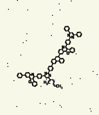 C=C(/C=C\C=C/C)c1cc(-c2ccc(-c3nc4ccc(-c5ccccc5)cc4c4oc5ccccc5c34)cc2)nc(-c2ccc(-c3ccc4cc(-c5ccc6nc(-c7ccc(-c8nc(-c9ccccc9)cc(-c9ccccc9)n8)cc7)c7c8ccccc8oc7c6c5)c5ccccc5c4c3)cc2)n1